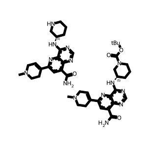 CN1CC=C(c2cc(C(N)=O)c3ncnc(N[C@H]4CCCN(C(=O)OC(C)(C)C)C4)c3n2)CC1.CN1CC=C(c2cc(C(N)=O)c3ncnc(N[C@H]4CCCNC4)c3n2)CC1